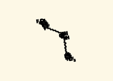 [CH2]C(NC(=O)CCCCCCCCCCC(F)(F)C(F)(F)C(F)(F)C(F)(F)C(F)(F)C(F)(F)F)C(=O)NCCCCCCCCCCCC(F)(F)C(F)(F)C(F)(F)C(F)(F)F